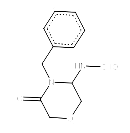 O=CNC1COCC(=O)N1Cc1ccccc1